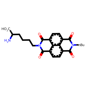 CCCCN1C(=O)c2ccc3c4c(ccc(c24)C1=O)C(=O)N(CCCCC(N)C(=O)O)C3=O